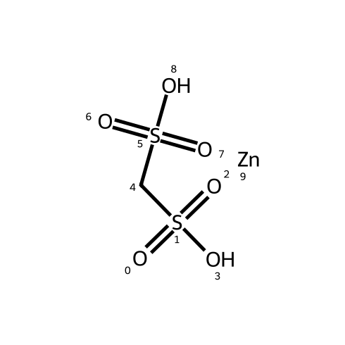 O=S(=O)(O)CS(=O)(=O)O.[Zn]